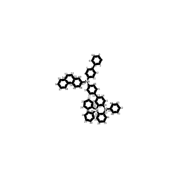 c1ccc(-c2ccc(N(c3ccc(-c4ccc5c(c4)[Si](c4ccccc4)(c4ccccc4)c4ccccc4N5c4ccccc4)cc3)c3ccc4c(ccc5ccccc54)c3)cc2)cc1